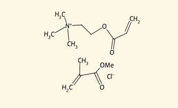 C=C(C)C(=O)OC.C=CC(=O)OCC[N+](C)(C)C.[Cl-]